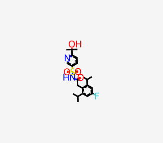 CC(C)c1cc(F)cc(C(C)C)c1CC(=O)NS(=O)(=O)c1ccc(C(C)(C)O)nc1